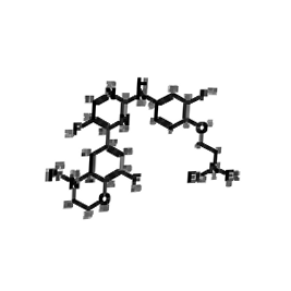 CCN(CC)CCOc1ccc(Nc2ncc(F)c(-c3cc(F)c4c(c3)N(C(C)C)CCO4)n2)cc1F